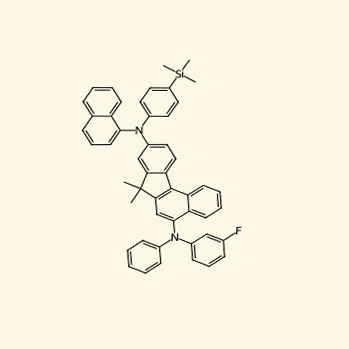 CC1(C)c2cc(N(c3ccc([Si](C)(C)C)cc3)c3cccc4ccccc34)ccc2-c2c1cc(N(c1ccccc1)c1cccc(F)c1)c1ccccc21